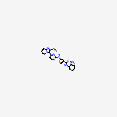 Cc1nc2ccccn2c1-c1ccnc(Nc2cc(C(=O)Nc3ccccc3N)cs2)n1